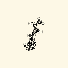 CC(=O)OC1[C@H](OC(C)=O)OC(CNCCNC(=O)CN(CCN(CCN2CC(=O)OC(=O)C2)CC(=O)O)CC(=O)O)[C@@H](OC(C)=O)[C@@H]1OC(C)=O